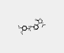 COc1ccc([C@H](C)Nc2nccc(N3C(=O)OC[C@@H]3C(C)C)n2)cc1OC